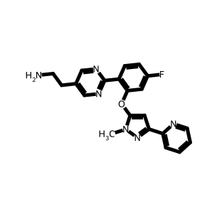 Cn1nc(-c2ccccn2)cc1Oc1cc(F)ccc1-c1ncc(CCN)cn1